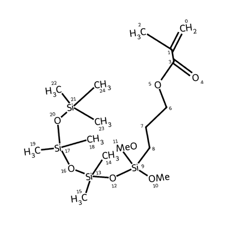 C=C(C)C(=O)OCCC[Si](OC)(OC)O[Si](C)(C)O[Si](C)(C)O[Si](C)(C)C